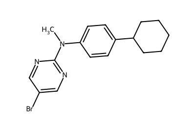 CN(c1ccc(C2CCCCC2)cc1)c1ncc(Br)cn1